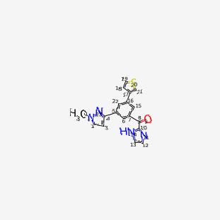 Cn1ccc(-c2cc(C(=O)c3ncc[nH]3)cc(-c3ccsc3)c2)n1